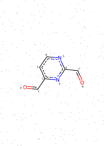 O=Cc1ccnc(C=O)n1